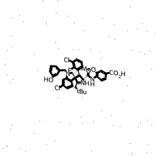 COc1cc(C(=O)O)ccc1NC(=O)[C@@H]1N[C@@H](CC(C)(C)C)[C@@]2(CN(Cc3cccc(O)c3)c3cc(Cl)ccc32)[C@H]1c1cccc(Cl)c1F